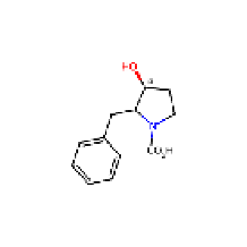 O=C(O)N1CC[C@H](O)C1Cc1ccccc1